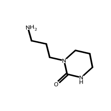 NCCCN1CCCNC1=O